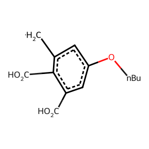 [CH2]c1cc(OCCCC)cc(C(=O)O)c1C(=O)O